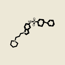 O=S(=O)(Nc1ccc2c(ccn2CCCN2CCCCC2)c1)c1ccc(-c2ccccc2)cc1